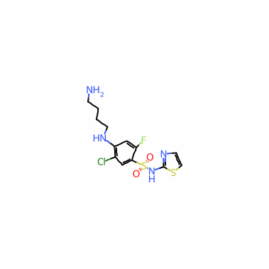 NCCCCNc1cc(F)c(S(=O)(=O)Nc2nccs2)cc1Cl